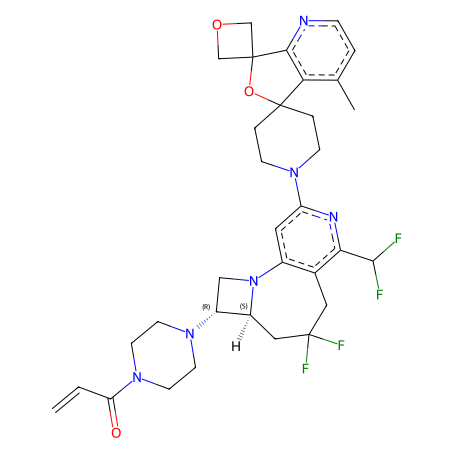 C=CC(=O)N1CCN([C@@H]2CN3c4cc(N5CCC6(CC5)OC5(COC5)c5nccc(C)c56)nc(C(F)F)c4CC(F)(F)C[C@@H]23)CC1